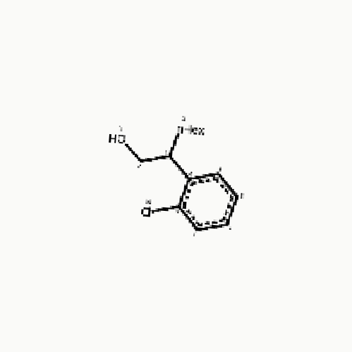 CCCCCCC(CO)c1ccccc1Cl